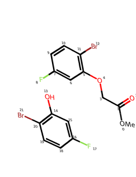 COC(=O)COc1cc(F)ccc1Br.Oc1cc(F)ccc1Br